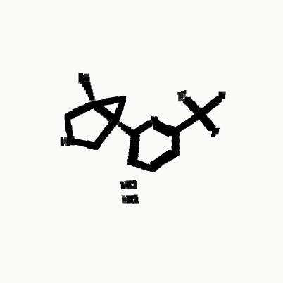 Cl.Cl.FC(F)(F)c1cccc([C@]23CNC[C@H]2C3)n1